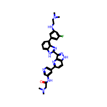 CN(C)CCNc1cc(F)cc(-c2cccc3[nH]c(-c4n[nH]c5ccc(-c6cncc(NC(=O)CN(C)C)c6)nc45)nc23)c1